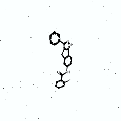 O=C(Nc1ccc2c(c1)Cc1c(-c3ccccc3)n[nH]c1-2)c1ccccc1F